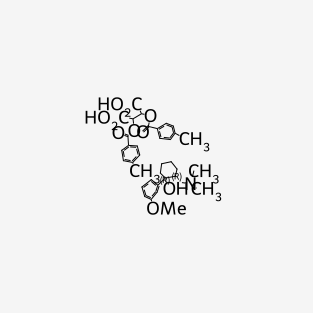 COc1cccc([C@@]2(O)CCCC[C@@H]2CN(C)C)c1.Cc1ccc(C(=O)OC(C(=O)O)C(OC(=O)c2ccc(C)cc2)C(=O)O)cc1